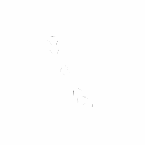 Nc1ccc2cc(OCCn3cc(COc4ccc5ncccc5c4)nn3)ccc2n1